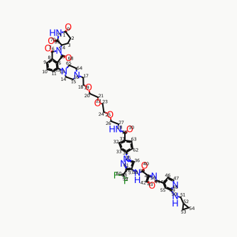 O=C1CCC(N2C(=O)c3cccc(N4CCN(CCOCCOCCOCCNC(=O)c5ccc(-n6cc(NC(=O)c7coc(-c8ccnc(NCC9CC9)c8)n7)c(C(F)F)n6)cc5)CC4)c3C2=O)C(=O)N1